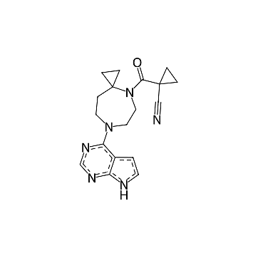 N#CC1(C(=O)N2CCN(c3ncnc4[nH]ccc34)CCC23CC3)CC1